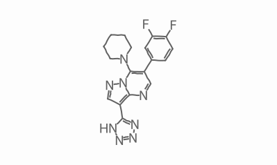 Fc1ccc(-c2cnc3c(-c4nnn[nH]4)cnn3c2N2CCCCC2)cc1F